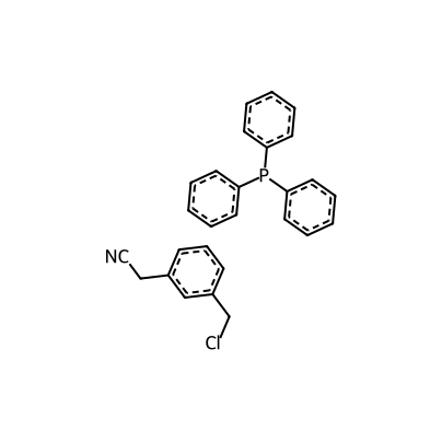 N#CCc1cccc(CCl)c1.c1ccc(P(c2ccccc2)c2ccccc2)cc1